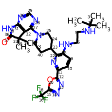 CC(C)(C)NCCNc1ccc(-c2nnc(C(F)(F)F)o2)nc1C1CCN(c2ncnc3c2C(C)(C)C(=O)N3)CC1